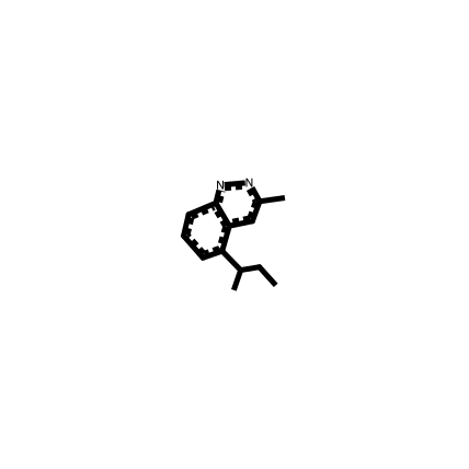 CCC(C)c1cccc2nnc(C)cc12